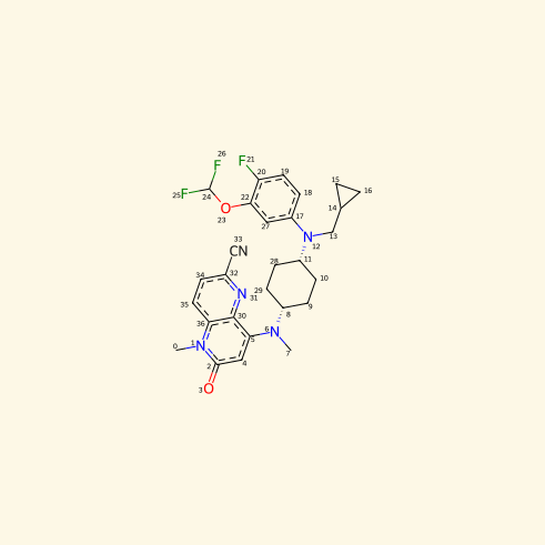 Cn1c(=O)cc(N(C)[C@H]2CC[C@@H](N(CC3CC3)c3ccc(F)c(OC(F)F)c3)CC2)c2nc(C#N)ccc21